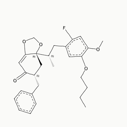 CCCCOc1cc(C[C@H](C)[C@]23C[C@H](Cc4ccccc4)C(=O)C=C2OCO3)c(F)cc1OC